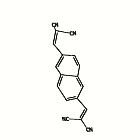 N#CC(C#N)=Cc1ccc2cc(C=C(C#N)C#N)ccc2c1